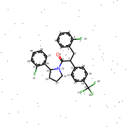 O=C(C(Cc1ccccc1F)c1ccc(C(F)(F)F)cc1)N1CCCC1c1ccccc1F